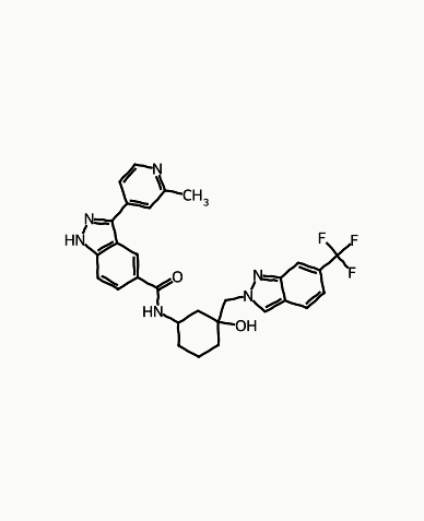 Cc1cc(-c2n[nH]c3ccc(C(=O)NC4CCCC(O)(Cn5cc6ccc(C(F)(F)F)cc6n5)C4)cc23)ccn1